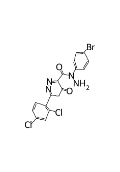 NN(C(=O)C1=NN=C(c2ccc(Cl)cc2Cl)CC1=O)c1ccc(Br)cc1